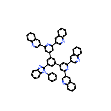 c1ccc(-n2c(-c3cc(-c4cc(-c5cnc6ccccc6c5)nc(-c5cnc6ccccc6c5)c4)cc(-c4cc(-c5cnc6ccccc6c5)nc(-c5cnc6ccccc6c5)c4)c3)nc3ccccc32)cc1